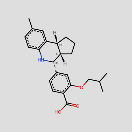 Cc1ccc2c(c1)[C@@H]1CCC[C@@H]1[C@H](c1ccc(C(=O)O)c(OCC(C)C)c1)N2